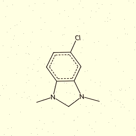 CN1CN(C)c2cc(Cl)ccc21